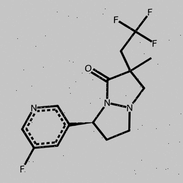 CC1(CC(F)(F)F)CN2CC[C@@H](c3cncc(F)c3)N2C1=O